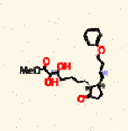 COC(=O)/C(O)=C(\O)CCCC[C@H]1C(=O)CC[C@@H]1/C=C/CCOc1ccccc1